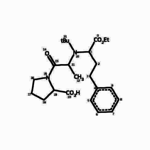 CCOC(=O)C(CCc1ccccc1)N(C(C)C(=O)N1CCCC1C(=O)O)C(C)(C)C